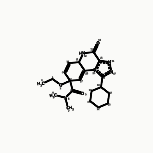 CCOC1(C(=O)N(C)C)C=CC2NC(=O)c3nnc(C4CCCCC4)n3C2=C1